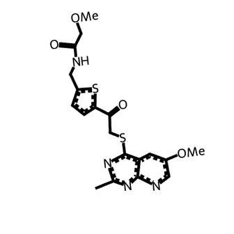 COCC(=O)NCc1ccc(C(=O)CSc2nc(C)nc3ncc(OC)cc23)s1